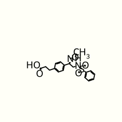 CON=C(CNS(=O)(=O)c1ccccc1)c1ccc(CCC(=O)O)cc1